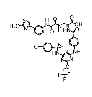 Cc1nc(-c2cccc(NC(=O)C(=O)NC[C@H](NC(=O)c3ccc(Nc4nc(NC5(c6ccc(Cl)cc6)CC5)nc(OCC(F)(F)F)n4)cc3)C(=O)O)c2)cs1